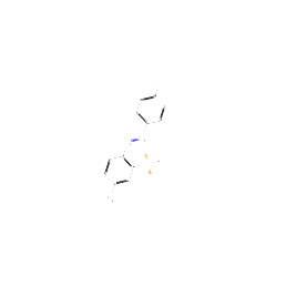 CS(=O)(=O)c1cc([N+](=O)[O-])ccc1/N=N/c1ccc(O)cc1